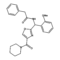 COc1ccccc1C(NC(=O)Cc1ccccc1)c1nc(C(=O)N2CCCCC2)co1